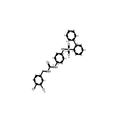 O=C(NCc1ccc(Cl)c(Cl)c1)Nc1ccc(NS(=O)(=O)c2ccccc2-c2ccccc2)cc1